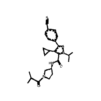 CC(C)C(=O)N1CC[C@H](NC(=O)c2c(C3CC3)c(-c3ccc(C#N)cc3)nn2C(C)C)C1